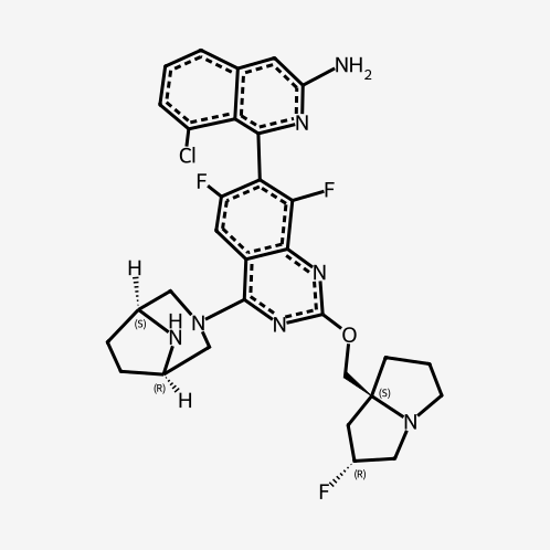 Nc1cc2cccc(Cl)c2c(-c2c(F)cc3c(N4C[C@H]5CC[C@@H](C4)N5)nc(OC[C@@]45CCCN4C[C@H](F)C5)nc3c2F)n1